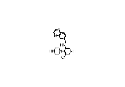 ClC1=C(N2CCNCC2)C(NCc2ccc3nccnc3c2)=CNC1